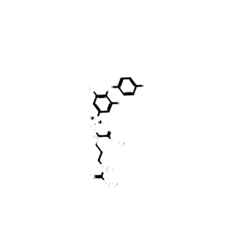 CNC(=N)NCCC[C@@H](NS(=O)(=O)c1cc(F)c(Oc2ccc(Cl)cc2)c(F)c1)C(=O)OC